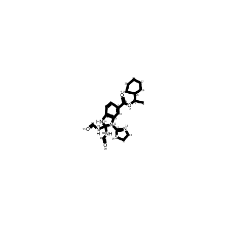 CC(OC(=O)c1ccc2c(c1)N(C1=NCCS1)C(NC=O)(NC=O)N2)C1CCCCC1